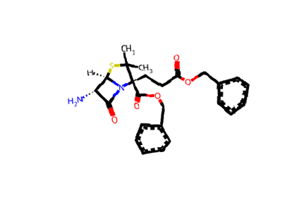 CC1(C)S[C@@H]2[C@@H](N)C(=O)N2[C@@]1(CCC(=O)OCc1ccccc1)C(=O)OCc1ccccc1